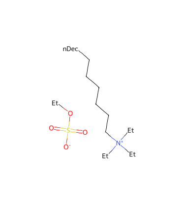 CCCCCCCCCCCCCCCC[N+](CC)(CC)CC.CCOS(=O)(=O)[O-]